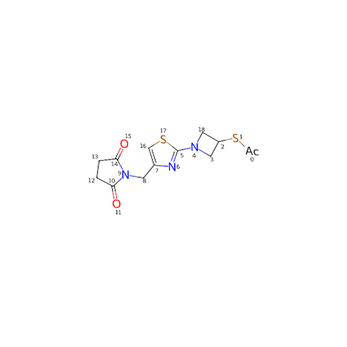 CC(=O)SC1CN(c2nc(CN3C(=O)CCC3=O)cs2)C1